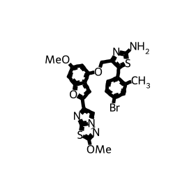 COc1cc(OCc2nc(N)sc2-c2ccc(Br)cc2C)c2cc(-c3cn4nc(OC)sc4n3)oc2c1